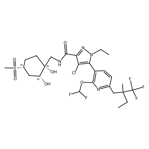 CCn1nc(C(=O)NC[C@]2(O)CC[C@@H](S(C)(=O)=O)C[C@H]2O)c(Cl)c1-c1ccc(CC(C)(CC)C(F)(F)F)nc1OC(F)F